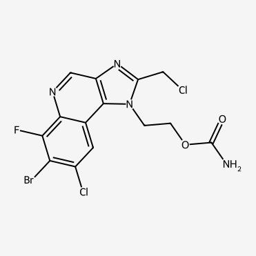 NC(=O)OCCn1c(CCl)nc2cnc3c(F)c(Br)c(Cl)cc3c21